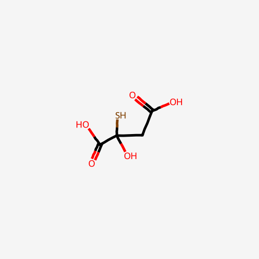 O=C(O)CC(O)(S)C(=O)O